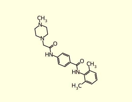 Cc1cccc(C)c1NC(=O)c1ccc(NC(=O)CN2CCN(C)CC2)cc1